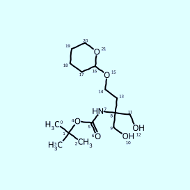 CC(C)(C)OC(=O)NC(CO)(CO)CCOC1CCCCO1